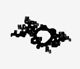 CCn1c(-c2cccnc2[C@H](C)OC)c2c3cc(ccc31)-c1csc(n1)C[C@H](NC(=O)C(C(C)C)N(C)C(=O)N1CC(OC(F)F)C1)C(=O)N1CCC[C@H](N1)C(=O)OCC(C)(C)C2